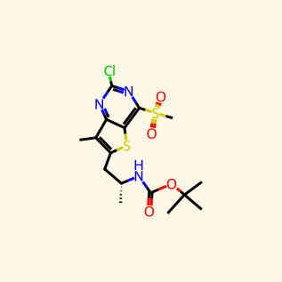 Cc1c(C[C@@H](C)NC(=O)OC(C)(C)C)sc2c(S(C)(=O)=O)nc(Cl)nc12